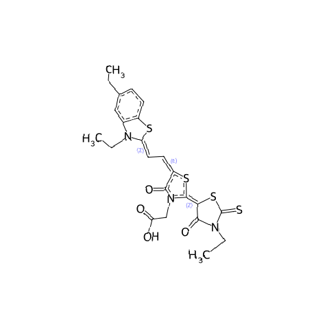 CCc1ccc2c(c1)N(CC)/C(=C/C=c1/s/c(=C3\SC(=S)N(CC)C3=O)n(CC(=O)O)c1=O)S2